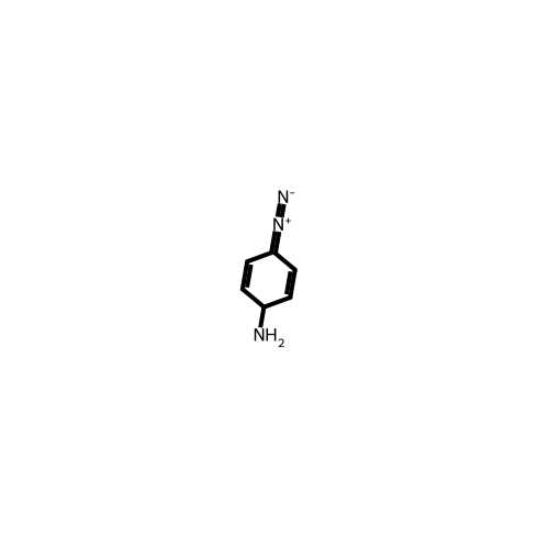 [N-]=[N+]=C1C=CC(N)C=C1